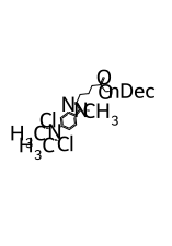 CCCCCCCCCCOC(=O)CCCc1nc2cc(N(C(C)Cl)C(C)Cl)ccc2n1C